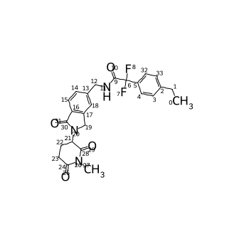 CCc1ccc(C(F)(F)C(=O)NCc2ccc3c(c2)CN(C2CCC(=O)N(C)C2=O)C3=O)cc1